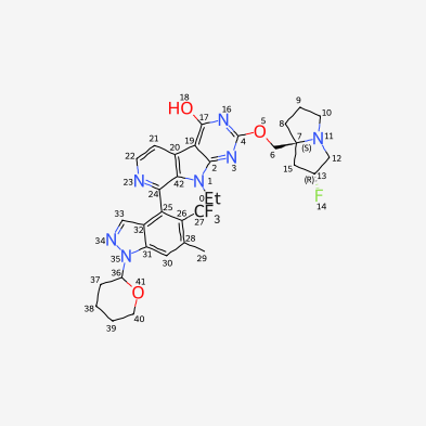 CCn1c2nc(OC[C@@]34CCCN3C[C@H](F)C4)nc(O)c2c2ccnc(-c3c(C(F)(F)F)c(C)cc4c3cnn4C3CCCCO3)c21